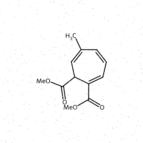 COC(=O)C1=CC=CC(C)=CC1C(=O)OC